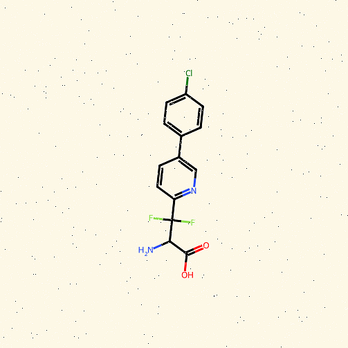 NC(C(=O)O)C(F)(F)c1ccc(-c2ccc(Cl)cc2)cn1